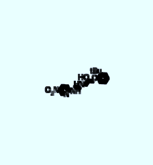 CC(C)(C)c1ccccc1OCC(O)CNCCNc1ccc([N+](=O)[O-])cn1